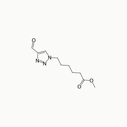 COC(=O)CCCCCn1cc(C=O)nn1